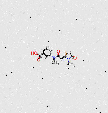 CN1C(=O)CS/C1=C\C(=O)N(C)c1cccc(C(=O)O)c1